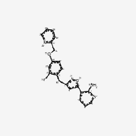 Nc1ncccc1-c1cc(Cc2ccc(OCc3ccccn3)cc2F)no1